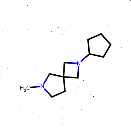 CN1CCC2(C1)CN(C1CCCC1)C2